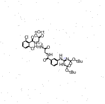 CCCCCCCCOC(=O)[C@H](CNC(=O)CNC(=O)c1cccc(N/C(=N/C(=O)OC(C)(C)C)NC(=O)OC(C)(C)C)c1)NC(=O)c1c(Cl)cccc1Cl